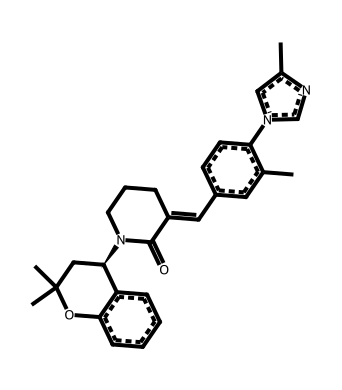 Cc1cn(-c2ccc(/C=C3\CCCN([C@@H]4CC(C)(C)Oc5ccccc54)C3=O)cc2C)cn1